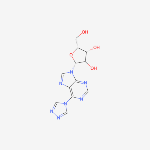 OC[C@H]1O[C@@H](n2cnc3c(-n4cnnc4)ncnc32)C(O)[C@H]1O